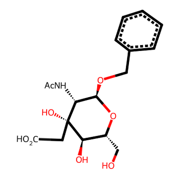 CC(=O)N[C@@H]1[C@@H](OCc2ccccc2)O[C@H](CO)[C@@H](O)[C@@]1(O)CC(=O)O